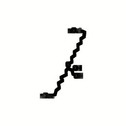 CCCCCCCC/C=C\CCCCCCCCOC(CCCCCCCCCCCCCCCCCC)C(O)CO